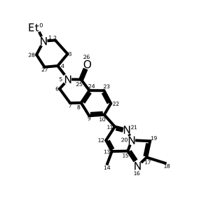 CCN1CCC(N2CCc3cc(-c4cc(C)c5nc(C)cn5n4)ccc3C2=O)CC1